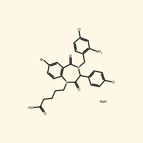 Nc1cc(Cl)ccc1CN1C(=O)c2cc(Br)ccc2N(CCCCC(=O)O)C(=O)C1c1ccc(Cl)cc1.[NaH]